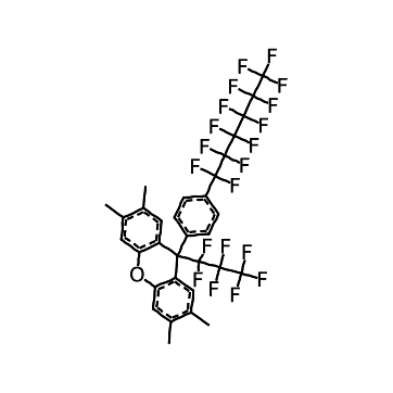 Cc1cc2c(cc1C)C(c1ccc(C(F)(F)C(F)(F)C(F)(F)C(F)(F)C(F)(F)C(F)(F)F)cc1)(C(F)(F)C(F)(F)C(F)(F)F)c1cc(C)c(C)cc1O2